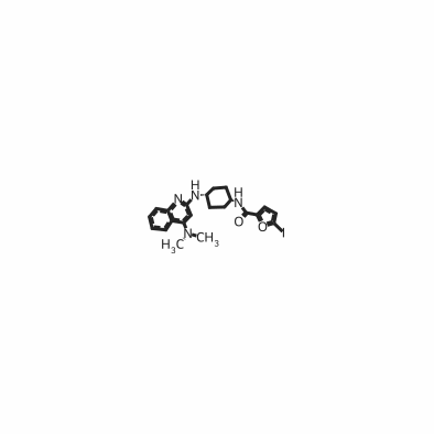 CN(C)c1cc(N[C@H]2CC[C@@H](NC(=O)c3ccc(I)o3)CC2)nc2ccccc12